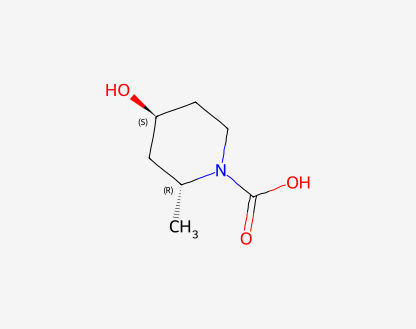 C[C@@H]1C[C@@H](O)CCN1C(=O)O